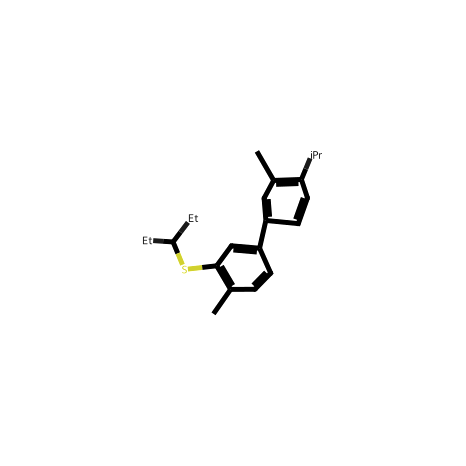 CCC(CC)Sc1cc(-c2ccc(C(C)C)c(C)c2)ccc1C